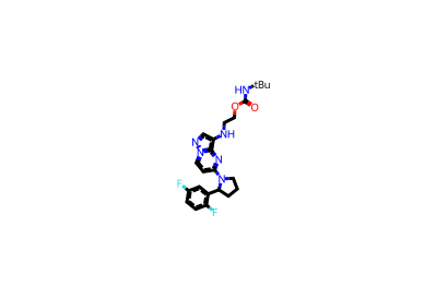 CC(C)(C)NC(=O)OCCNc1cnn2ccc(N3CCCC3c3cc(F)ccc3F)nc12